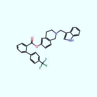 O=C(Oc1ccc2c(c1)CCN(Cc1c[nH]c3ccccc13)C2)c1ccccc1-c1ccc(C(F)(F)F)cc1